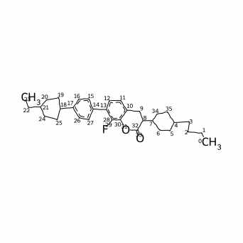 CCCCC1CCC(C2Cc3ccc(-c4ccc(C5CCC(CC)CC5)cc4)c(F)c3OC2=O)CC1